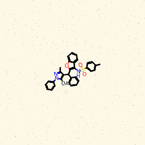 CC(=O)Oc1c(C(c2ccccc2)c2oc3ccccc3c2NS(=O)(=O)c2ccc(C)cc2)c(C)nn1-c1ccccc1